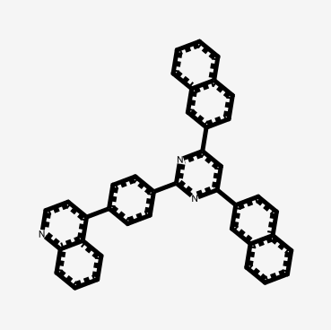 c1ccc2cc(-c3cc(-c4ccc5ccccc5c4)nc(-c4ccc(-c5ccnc6ccccc56)cc4)n3)ccc2c1